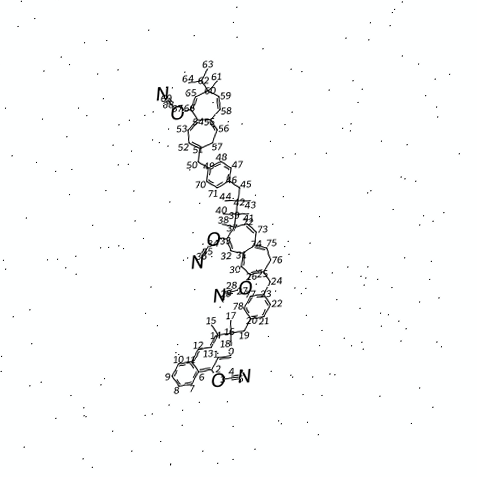 C=C/C(OC#N)=c1/cccc/c1=C/C=C(\C)C(C)(C)Cc1ccc(CC2=C(OC#N)C=C3C=C(OC#N)C(C)(C(C)(C)C(C)(C)Cc4ccc(CC5=CC=C6C(=CC5)C=CC(C)(C(C)C)C=C6OC#N)cc4)C=CC3=CC2)cc1